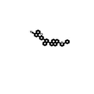 N#Cc1ccc2c3c(cccc13)Oc1cc(-c3ccc(-c4ccc5ccc6c(-c7cccc(-c8ccccc8)n7)ccc7ccc4c5c76)c4ccccc34)ccc1-2